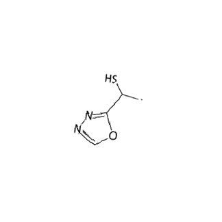 [CH2]C(S)c1nnco1